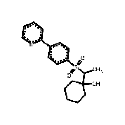 CC(C1(O)CCCCC1)S(=O)(=O)c1ccc(-c2ccccn2)cc1